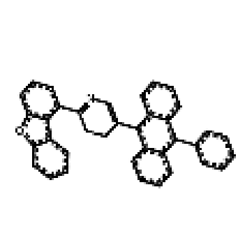 C1=C(c2c3ccccc3c(-c3ccccc3)c3ccccc23)CCC(c2cccc3oc4ccccc4c23)=N1